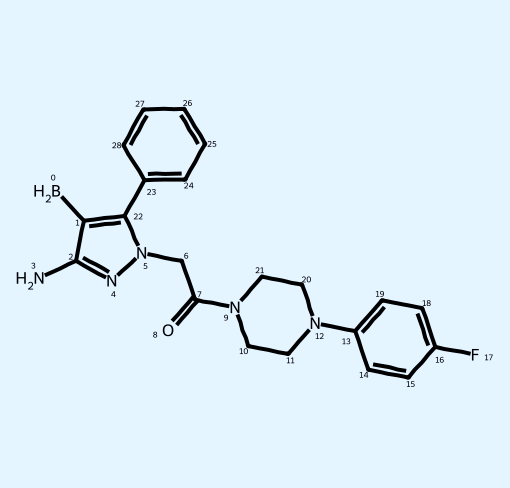 Bc1c(N)nn(CC(=O)N2CCN(c3ccc(F)cc3)CC2)c1-c1ccccc1